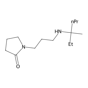 CCCC(C)(CC)NCCCN1CCCC1=O